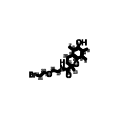 Cc1c(C)c2c(c(C)c1O)CCC(C)(C(=O)NCCOCCBr)O2